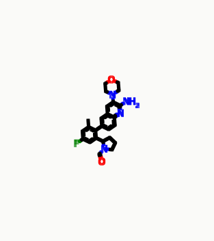 Cc1cc(F)cc(C2CCCN2C=O)c1-c1ccc2nc(N)c(N3CCOCC3)cc2c1